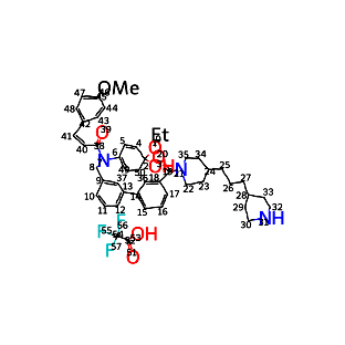 CCOC1(O)C=CC(N(Cc2cccc(-c3cccc(C(=O)N4CCC(CCCC5CCNCC5)CC4)c3)c2)C(=O)C=Cc2ccc(OC)cc2)=CC1.O=C(O)C(F)(F)F